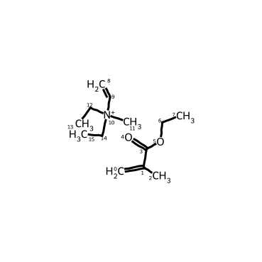 C=C(C)C(=O)OCC.C=C[N+](C)(CC)CC